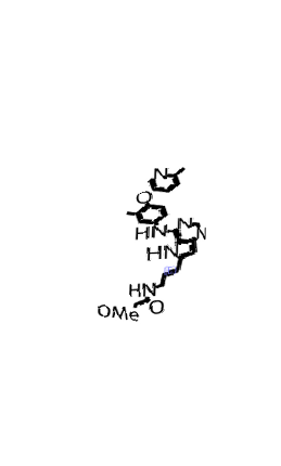 COCC(=O)NC/C=C/c1cc2ncnc(Nc3ccc(Oc4ccc(C)nc4)c(C)c3)c2[nH]1